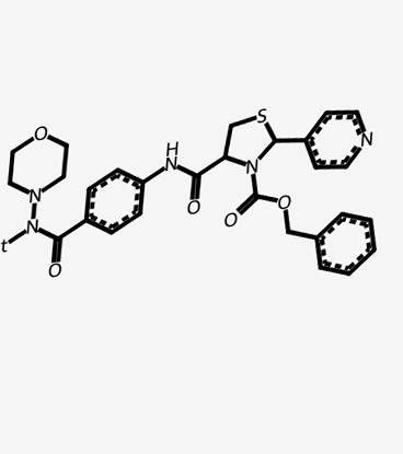 CCN(C(=O)c1ccc(NC(=O)C2CSC(c3ccncc3)N2C(=O)OCc2ccccc2)cc1)N1CCOCC1